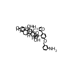 C[C@]12C=CC(=O)C=C1CC[C@@H]1[C@@H]2[C@@H](O)C[C@@]2(C)[C@H]1C[C@H]1O[C@@H](c3cc(OCc4cccc(N)c4)ccc3-c3ccco3)O[C@]12C(=O)CO